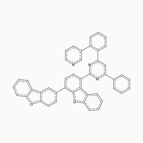 c1ccc(-c2cc(-c3ccccc3-c3cccnc3)nc(-c3ccc(-c4ccc5oc6ccccc6c5c4)c4oc5ccccc5c34)n2)cc1